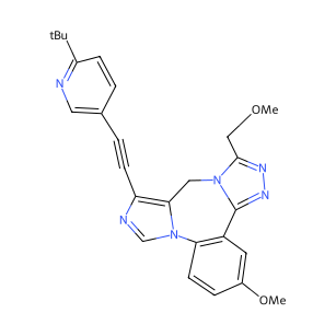 COCc1nnc2n1Cc1c(C#Cc3ccc(C(C)(C)C)nc3)ncn1-c1ccc(OC)cc1-2